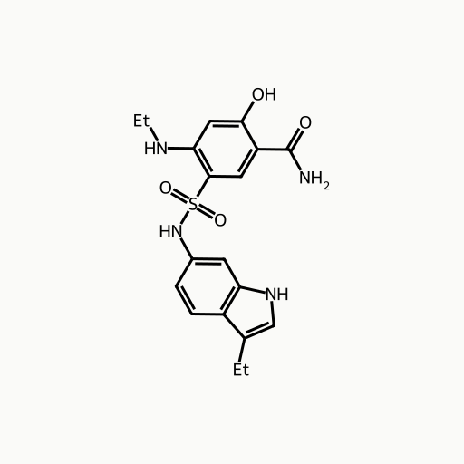 CCNc1cc(O)c(C(N)=O)cc1S(=O)(=O)Nc1ccc2c(CC)c[nH]c2c1